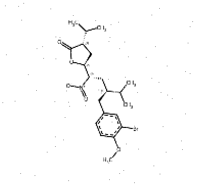 COc1ccc(C[C@@H](C[C@@H]([C@@H]2C[C@@H](C(C)C)C(=O)O2)[N+](=O)[O-])C(C)C)cc1Br